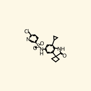 O=C1Nc2c(C3CC3)cc(NS(=O)(=O)c3ccc(Cl)nc3)cc2C12CCC2